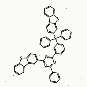 c1ccc(-c2nc(-c3cccc([Si](c4ccccc4)(c4ccccc4)c4ccc5c(c4)sc4ccccc45)c3)nc(-c3ccc4sc5ccccc5c4c3)n2)cc1